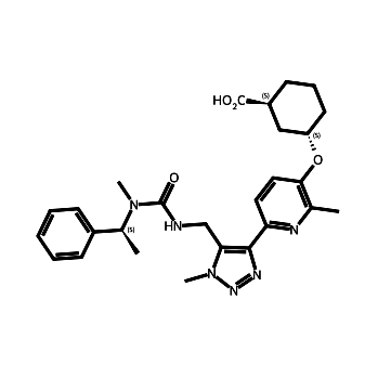 Cc1nc(-c2nnn(C)c2CNC(=O)N(C)[C@@H](C)c2ccccc2)ccc1O[C@H]1CCC[C@H](C(=O)O)C1